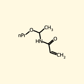 C=CC(=O)NC(C)OCCC